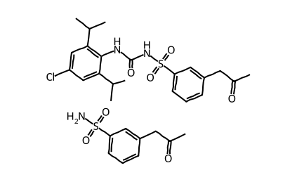 CC(=O)Cc1cccc(S(=O)(=O)NC(=O)Nc2c(C(C)C)cc(Cl)cc2C(C)C)c1.CC(=O)Cc1cccc(S(N)(=O)=O)c1